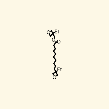 CCC1(CCCCCCCCCC(=O)OCC2(CC)COC2)COC1